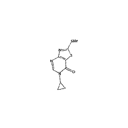 CSc1nc2ncn(C3CC3)c(=O)c2s1